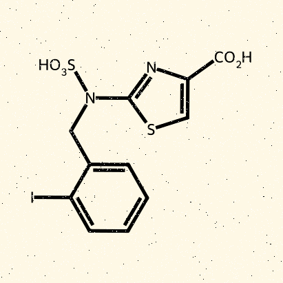 O=C(O)c1csc(N(Cc2ccccc2I)S(=O)(=O)O)n1